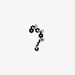 O=C(c1ccc([S+]([O-])CCCCCN2CCCC2)cc1)N1CCC(N2C(=O)CCc3ccccc32)CC1